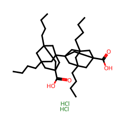 CCCCC12CC3(CCCC)CC(C(=O)O)(C1)CC(C14CC5(CCCC)CC(CCCC)(CC(C(=O)O)(C5)C1)C4)(C2)C3.Cl.Cl